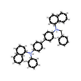 c1ccc(CN(c2ccc(-c3ccc(N(c4ccccc4)c4cccc5ccccc45)cc3)cc2)c2cccc3ccccc23)cc1